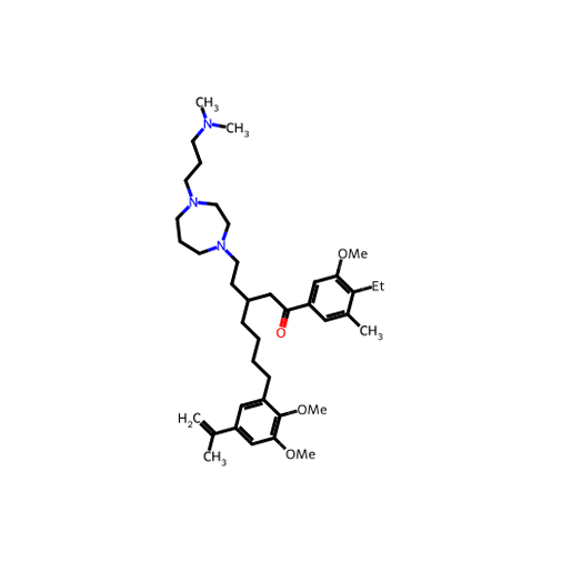 C=C(C)c1cc(CCCCC(CCN2CCCN(CCCN(C)C)CC2)CC(=O)c2cc(C)c(CC)c(OC)c2)c(OC)c(OC)c1